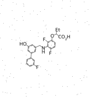 CCC(Oc1ccc(F)c(NCc2cc(O)cc(-c3cccc(F)c3)c2)c1F)C(=O)O